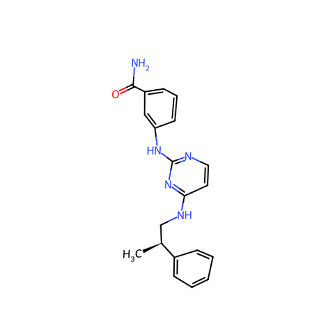 C[C@@H](CNc1ccnc(Nc2cccc(C(N)=O)c2)n1)c1ccccc1